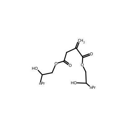 C=C(CC(=O)OCC(O)CCC)C(=O)OCC(O)CCC